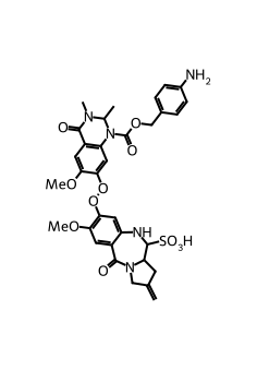 C=C1CC2C(S(=O)(=O)O)Nc3cc(OOc4cc5c(cc4OC)C(=O)N(C)C(C)N5C(=O)OCc4ccc(N)cc4)c(OC)cc3C(=O)N2C1